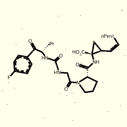 CCCCC/C=C\C1C[C@]1(NC(=O)[C@@H]1CCCN1C(=O)CNC(=O)N[C@H](C(=O)c1ccc(F)cc1)C(C)C)C(=O)O